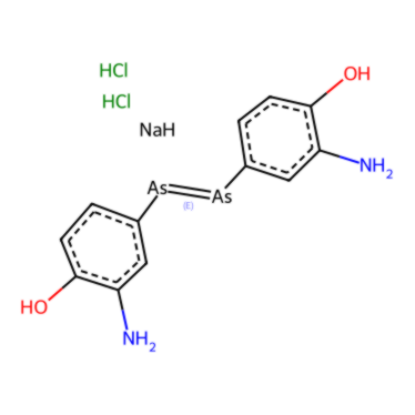 Cl.Cl.Nc1cc(/[As]=[As]/c2ccc(O)c(N)c2)ccc1O.[NaH]